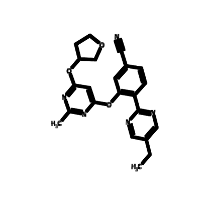 CCc1cnc(-c2ccc(C#N)cc2Oc2cc(OC3CCOC3)nc(C)n2)nc1